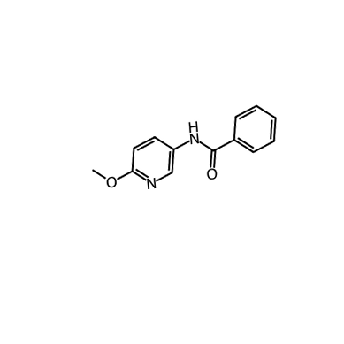 COc1ccc(NC(=O)c2ccccc2)cn1